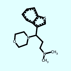 CN(C)CCC(c1csc2ccccc12)N1CCOCC1